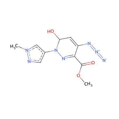 COC(=O)C1=NN(c2cnn(C)c2)C(O)C=C1N=[N+]=[N-]